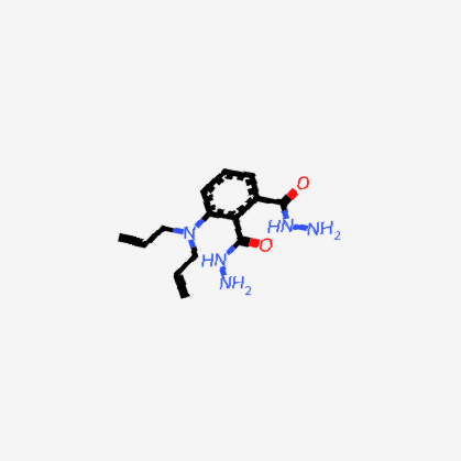 C=CCN(CC=C)c1cccc(C(=O)NN)c1C(=O)NN